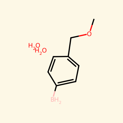 Bc1ccc(COC)cc1.O.O